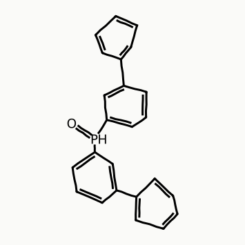 O=[PH](c1cccc(-c2ccccc2)c1)c1cccc(-c2ccccc2)c1